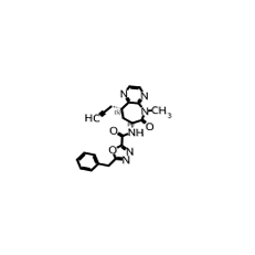 C#CC[C@H]1C[C@@H](NC(=O)c2nnc(Cc3ccccc3)o2)C(=O)N(C)c2nccnc21